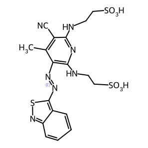 Cc1c(C#N)c(NCCS(=O)(=O)O)nc(NCCS(=O)(=O)O)c1/N=N/c1snc2ccccc12